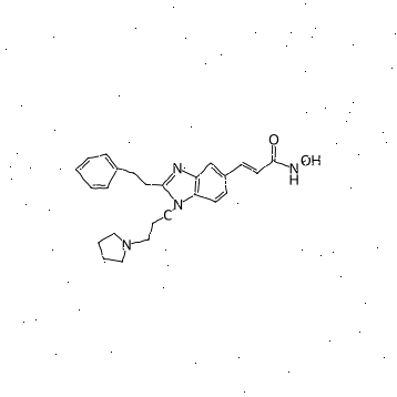 O=C(C=Cc1ccc2c(c1)nc(CCc1ccccc1)n2CCCN1CCCC1)NO